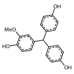 COc1cc(C(c2ccc(O)cc2)c2ccc(O)cc2)ccc1O